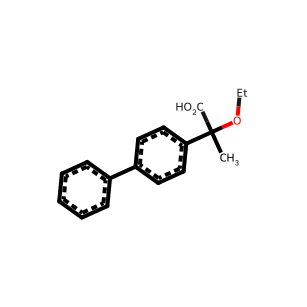 CCOC(C)(C(=O)O)c1ccc(-c2ccccc2)cc1